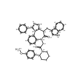 COc1ccc(C2CCCCN2C(=O)CN2C(=O)C(Cc3c[nH]c4ccccc34)c3nnc(-c4ccccc4)n3-c3ccccc32)cc1